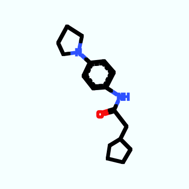 O=C(CC1CCCC1)Nc1ccc(N2CCCC2)cc1